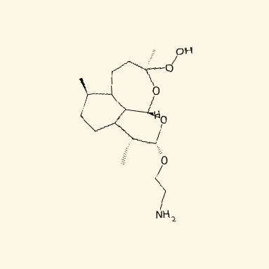 C[C@@H]1CCC2C3C1CC[C@@](C)(OO)O[C@@H]3O[C@H](OCCN)[C@@H]2C